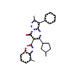 COc1cccc2oc(-c3c(C4CCC(C(=O)O)C4)[nH]c4c(-c5ccccc5)c(C(F)(F)F)nn4c3=O)nc12